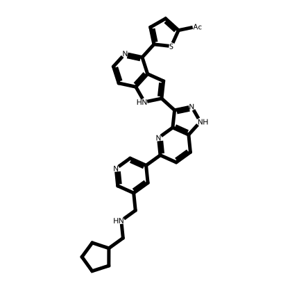 CC(=O)c1ccc(-c2nccc3[nH]c(-c4n[nH]c5ccc(-c6cncc(CNCC7CCCC7)c6)nc45)cc23)s1